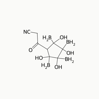 BC1(O)C(C(=O)CC#N)C(B)(O)C(B)(O)C1(B)O